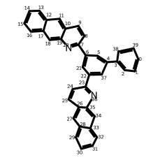 c1ccc(-c2cc(-c3ccc4cc5ccccc5cc4n3)cc(-c3ccc4cc5ccccc5cc4n3)c2)cc1